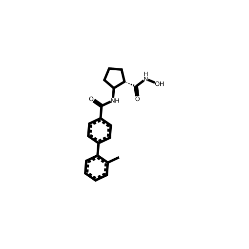 Cc1ccccc1-c1ccc(C(=O)NC2CCC[C@@H]2C(=O)NO)cc1